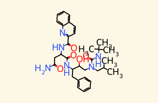 CC(C)CN(CC(O)C(Cc1ccccc1)NC(=O)C(CC(N)=O)NC(=O)c1ccc2ccccc2n1)C(=O)NC(C)(C)C